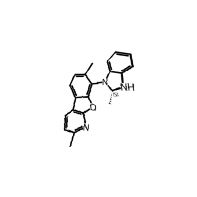 Cc1ccc2c(n1)oc1c(N3c4ccccc4N[C@@H]3C)c(C)ccc12